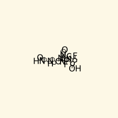 C#Cc1c(F)ccc2cc(O)cc(-c3ncc4c(N5CCCOCC5)nc(OC[C@]56CCC[C@H]5N(CC5CCC(=O)NC5)CCC6)nc4c3F)c12